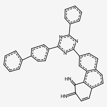 N=C1C=Cc2ccc3ccc(-c4nc(-c5ccccc5)nc(-c5ccc(-c6ccccc6)cc5)n4)cc3c2C1=N